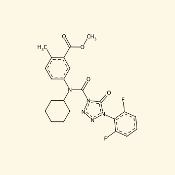 COC(=O)c1cc(N(C(=O)n2nnn(-c3c(F)cccc3F)c2=O)C2CCCCC2)ccc1C